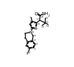 Cc1cc(N2CCc3cc(F)ccc3C2)sc1C(C(N)=O)C(C)(C)C